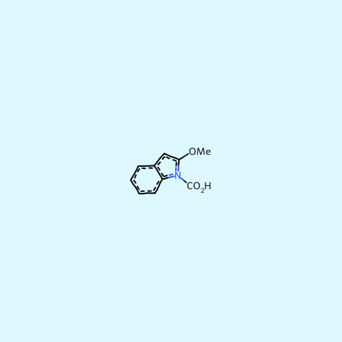 COc1cc2ccccc2n1C(=O)O